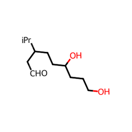 CC(C)C(CC=O)CCC(O)CCCO